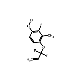 C=CC(F)(F)Oc1ccc(OCC)c(F)c1C